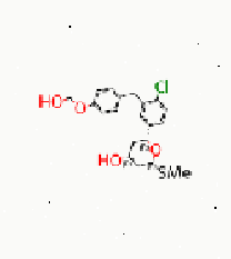 CS[C@@H]1C[C@H](O)C[C@H](c2ccc(Cl)c(Cc3ccc(OCO)cc3)c2)O1